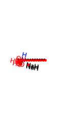 CCCCCCCCCCCCCCCCCCCNc1cc(C(=O)O)c(C(=O)O)c(C(=O)O)c1.[NaH].[NaH].[NaH]